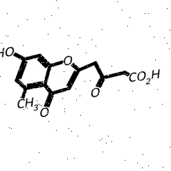 Cc1cc(O)cc2oc(CC(=O)CC(=O)O)cc(=O)c12